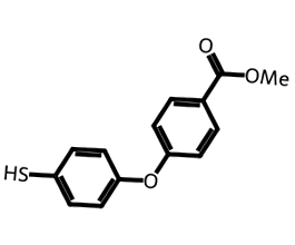 COC(=O)c1ccc(Oc2ccc(S)cc2)cc1